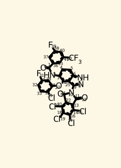 O=C(Nc1ccc2[nH]nc(N3C(=O)c4c(Cl)c(Cl)c(Cl)c(Cl)c4C3=O)c2c1Oc1cc(F)ccc1Cl)c1cc(F)cc(C(F)(F)F)c1